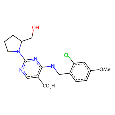 COc1ccc(CNc2nc(N3CCCC3CO)ncc2C(=O)O)c(Cl)c1